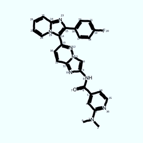 CN(C)c1cc(C(=O)Nc2cn3nc(-c4c(-c5ccc(F)cc5)nc5ccccn45)ccc3n2)ccn1